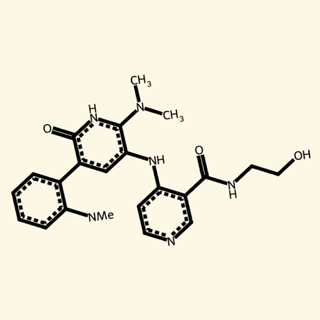 CNc1ccccc1-c1cc(Nc2ccncc2C(=O)NCCO)c(N(C)C)[nH]c1=O